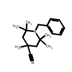 CC1(C)CC(N)(C#N)CC(C)(C)N1Cc1ccccc1